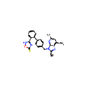 CCCc1nc2c(C)cc(C)nc2n1Cc1ccc(-c2ccccc2-c2nc(=S)o[nH]2)cc1